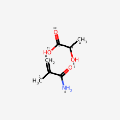 C=C(C)C(N)=O.CC(O)C(=O)O